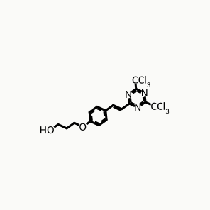 OCCCOc1ccc(C=Cc2nc(C(Cl)(Cl)Cl)nc(C(Cl)(Cl)Cl)n2)cc1